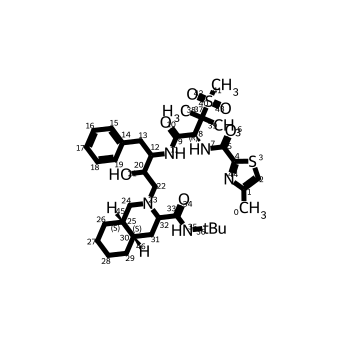 Cc1csc(C(=O)N[C@H](C(=O)NC(Cc2ccccc2)C(O)CN2C[C@H]3CCCC[C@H]3CC2C(=O)NC(C)(C)C)C(C)(C)S(C)(=O)=O)n1